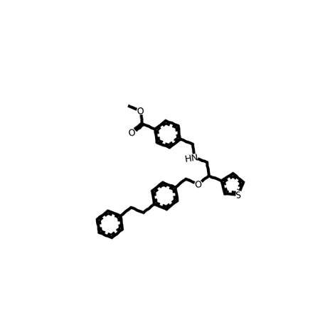 COC(=O)c1ccc(CNCC(OCc2ccc(CCc3ccccc3)cc2)c2ccsc2)cc1